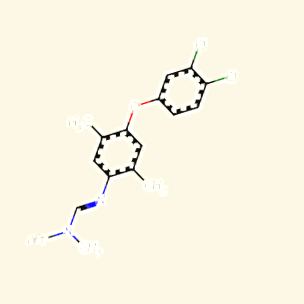 CCCN(C)/C=N/c1cc(C)c(Oc2ccc(Cl)c(Cl)c2)cc1C